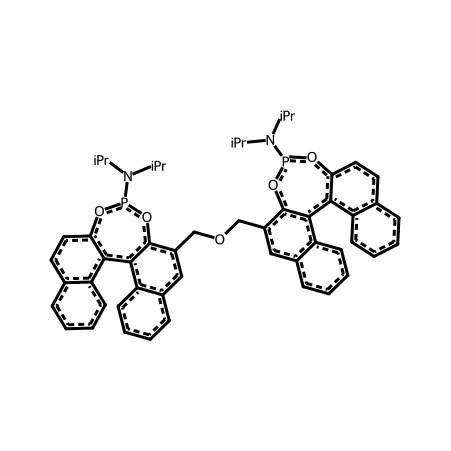 CC(C)N(C(C)C)p1oc2ccc3ccccc3c2c2c(o1)c(COCc1cc3ccccc3c3c1op(N(C(C)C)C(C)C)oc1ccc4ccccc4c13)cc1ccccc12